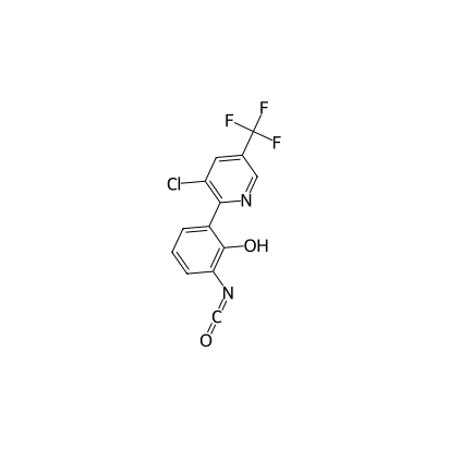 O=C=Nc1cccc(-c2ncc(C(F)(F)F)cc2Cl)c1O